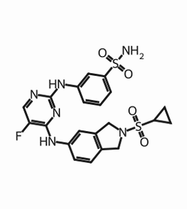 NS(=O)(=O)c1cccc(Nc2ncc(F)c(Nc3ccc4c(c3)CN(S(=O)(=O)C3CC3)C4)n2)c1